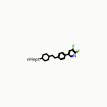 CCCCCCCC1CCC(CCc2ccc(-c3cnc(F)c(F)c3)cc2)CC1